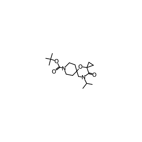 CC(C)N1CC2(CCN(C(=O)OC(C)(C)C)CC2)OC2(CC2)C1=O